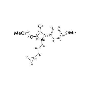 COCO[C@H]1C(=O)N(c2ccc(OC)cc2)[C@H]1CCCC1CC1